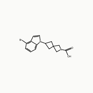 O=C(O)N1CC2(CC(n3ccc4c(Br)cccc43)C2)C1